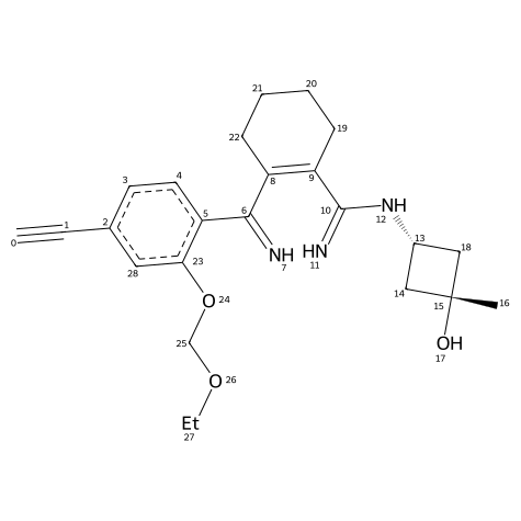 C#Cc1ccc(C(=N)C2=C(C(=N)N[C@H]3C[C@@](C)(O)C3)CCCC2)c(OCOCC)c1